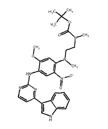 COc1cc(N(C)CCN(C)C(=O)OC(C)(C)C)c([N+](=O)[O-])cc1Nc1nccc(-c2c[nH]c3ccccc23)n1